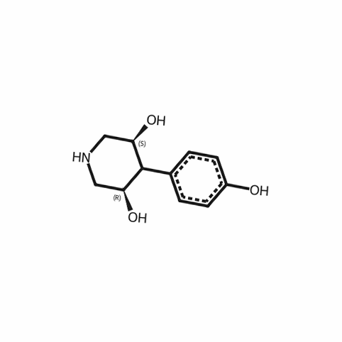 Oc1ccc(C2[C@H](O)CNC[C@@H]2O)cc1